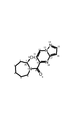 C[C@@H]1CCCCCN1C(=O)c1ccn2nccc2n1